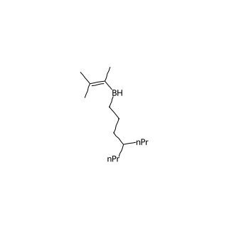 CCCC(CCC)CCCBC(C)=C(C)C